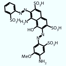 COc1cc(N=Nc2c(S(=O)(=O)O)cc3cc(S(=O)(=O)O)c(N=Nc4ccccc4S(=O)(=O)O)c(N)c3c2O)c(S(=O)(=O)O)cc1N